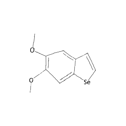 COc1cc2cc[se]c2cc1OC